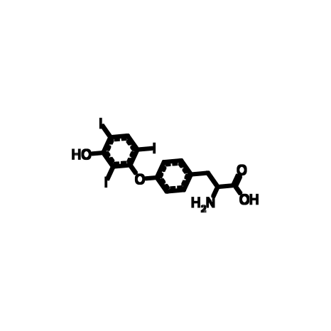 NC(Cc1ccc(Oc2c(I)cc(I)c(O)c2I)cc1)C(=O)O